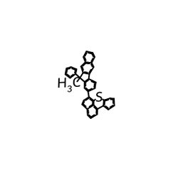 CC1(c2ccccc2)c2cc(-c3ccc4cccc5c4c3Sc3ccccc3-5)ccc2-c2cc3ccccc3cc21